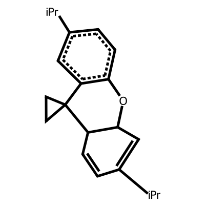 CC(C)C1=CC2Oc3ccc(C(C)C)cc3C3(CC3)C2C=C1